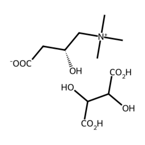 C[N+](C)(C)C[C@H](O)CC(=O)[O-].O=C(O)C(O)C(O)C(=O)O